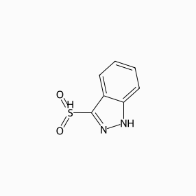 O=[SH](=O)c1n[nH]c2ccccc12